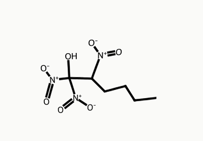 CCCCC([N+](=O)[O-])C(O)([N+](=O)[O-])[N+](=O)[O-]